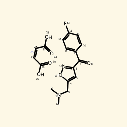 CN(C)Cc1cc(C(=O)c2ccc(F)cc2)no1.O=C(O)/C=C\C(=O)O